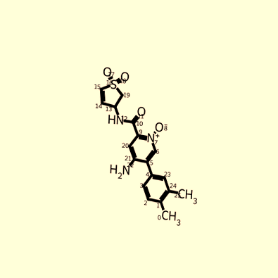 Cc1ccc(-c2c[n+]([O-])c(C(=O)NC3C=CS(=O)(=O)C3)cc2N)cc1C